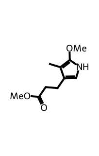 COC(=O)CCc1c[nH]c(OC)c1C